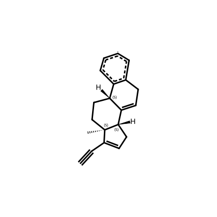 C#CC1=CC[C@H]2C3=CCc4c[c]ccc4[C@H]3CC[C@]12C